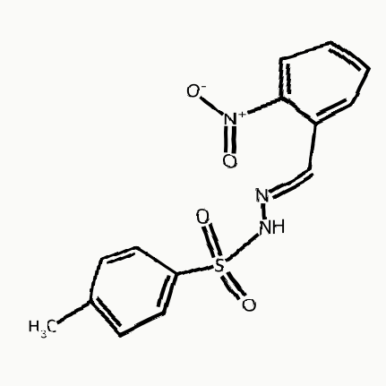 Cc1ccc(S(=O)(=O)NN=Cc2ccccc2[N+](=O)[O-])cc1